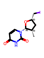 C[C@H]1C[C@@H](CI)O[C@H]1n1ccc(=O)[nH]c1=O